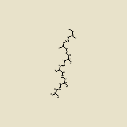 CCC(C)COCC(C)COCC(C)COCC(C)COCC(C)COCC(C)C